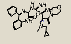 C=C(/C(=C\N(C)CC1CC1)C(=N)OC(=N)NC1N=C(c2ccccc2)c2ccccc2NC1=O)N1CCOCC1